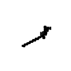 CCCCCCCCCCCCCCNC(=O)c1ccc(CS(=O)(=O)O)o1